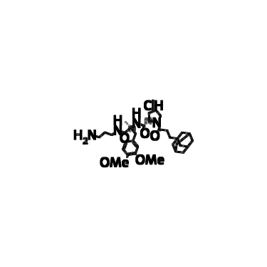 COc1ccc(C[C@](C)(NC(=O)[C@@H]2CCCN2C(=O)CCC23CC4CC(CC(C4)C2)C3)C(=O)NCCCN)cc1OC.Cl